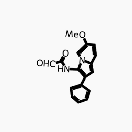 COc1ccc2cc(-c3ccccc3)c(NC(=O)C=O)n2c1